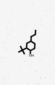 CCCC1CCC(O)C(C(C)(C)C)C1